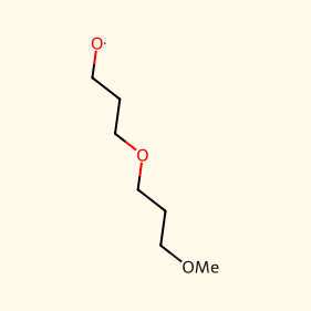 COCCCOCCC[O]